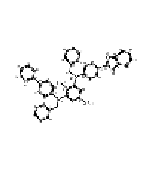 CC(C)(C)c1cc(N(Cc2ccccc2)c2ccc(-c3ccccn3)cc2)c(Cl)c(N(Cc2ccccc2)c2ccc(-c3nc4ccccc4o3)cc2)c1